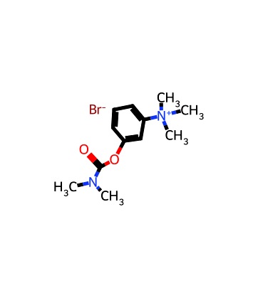 CN(C)C(=O)Oc1cccc([N+](C)(C)C)c1.[Br-]